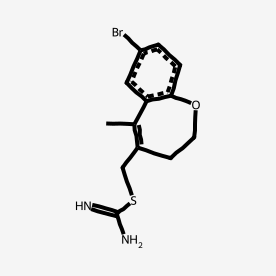 CC1=C(CSC(=N)N)CCOc2ccc(Br)cc21